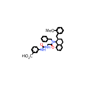 COc1ccccc1CC1CCc2ccccc2C1N(Cc1ccccc1)C(=O)CNC(=O)Nc1cccc(C(=O)O)c1